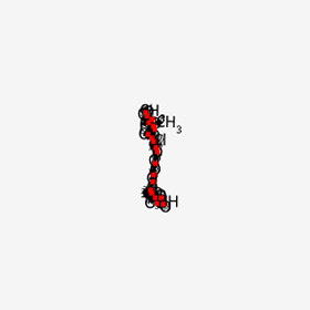 CCOc1cc2oc(-c3ccc(OCCOCCOCCOCCOc4cccc5c4C(=O)N(C4CCC(=O)NC4=O)C5=O)cc3Cl)cc(=O)c2cc1-c1ccc(S(C)(=O)=O)cc1F